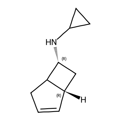 C1=C[C@H]2C[C@@H](NC3CC3)C2C1